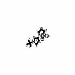 CC(C)(C)N1CCC(N2CCCS2(=O)=O)C1